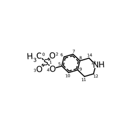 CS(=O)(=O)Oc1ccc2c(c1)CCNC2